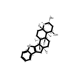 CC(C)(C)[C@@H]1C[C@@H](O)[C@]2(C)[C@H](CC[C@@]3(C)[C@H]2CC[C@H]2Cc4c([nH]c5ccccc45)[C@@]23C)O1